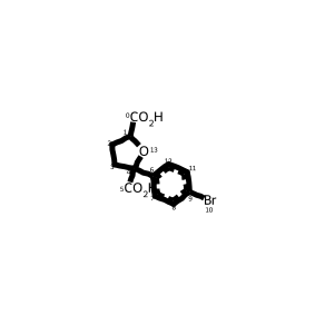 O=C(O)C1CCC(C(=O)O)(c2ccc(Br)cc2)O1